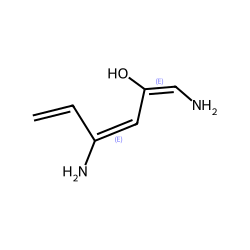 C=C/C(N)=C\C(O)=C/N